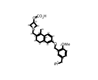 COc1ccc(CC(C)C)cc1COc1ccc2c(c1)CCC(CN1CC(OC(=O)O)C1)=C2C